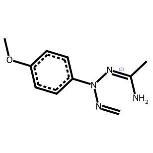 C=NN(/N=C(/C)N)c1ccc(OC)cc1